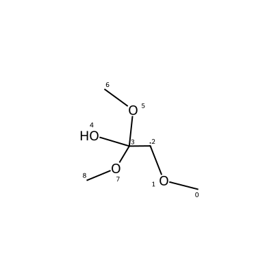 CO[CH]C(O)(OC)OC